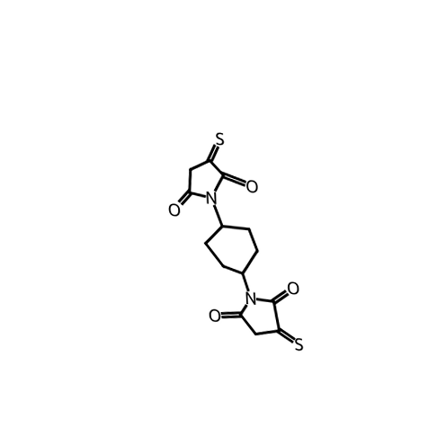 O=C1CC(=S)C(=O)N1C1CCC(N2C(=O)CC(=S)C2=O)CC1